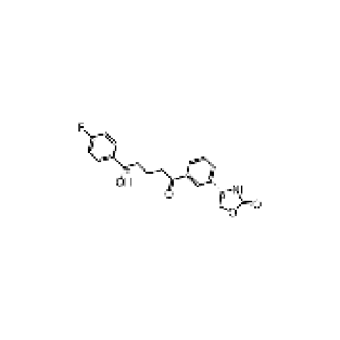 O=C1N[C@@H](c2cccc(C(=O)CCC[C@H](O)c3ccc(F)cc3)c2)CO1